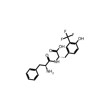 N[C@@H](Cc1ccccc1)C(=O)N[C@@H](Cc1ccc(O)c(C(F)(F)F)c1)C(=O)O